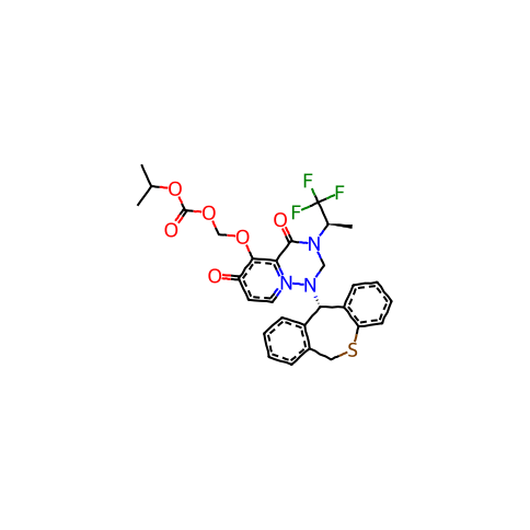 CC(C)OC(=O)OCOc1c2n(ccc1=O)N([C@H]1c3ccccc3CSc3ccccc31)CN([C@H](C)C(F)(F)F)C2=O